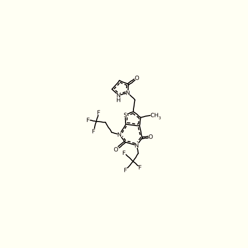 Cc1c(Cn2[nH]ccc2=O)sc2c1c(=O)n(CC(F)(F)F)c(=O)n2CCC(F)(F)F